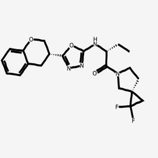 CC[C@@H](Nc1nnc([C@H]2COc3ccccc3C2)o1)C(=O)N1CC[C@]2(C1)CC2(F)F